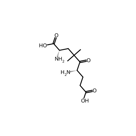 CC(C)(C[C@H](N)C(=O)O)C(=O)[C@@H](N)CCC(=O)O